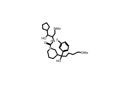 CNCC(NC(=O)N1CCCC(C(O)(CCCCOC)c2cccc(F)c2)C1)C(O)C1CCCC1